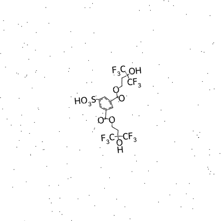 O=C(OCCC(O)(C(F)(F)F)C(F)(F)F)c1cc(C(=O)OCCC(O)(C(F)(F)F)C(F)(F)F)cc(S(=O)(=O)O)c1